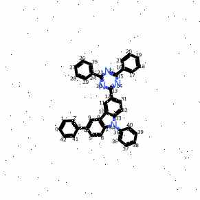 c1ccc(-c2ccc3c(c2)c2cc(-c4nc(-c5ccccc5)nc(-c5ccccc5)n4)ccc2n3-c2ccccc2)cc1